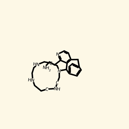 NCCc1nccc2c1C(N1CCCNCCNCCCNCC1)c1ccc(cc1)C2